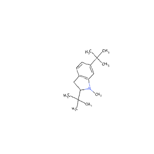 CN1c2cc(C(C)(C)C)ccc2CC1C(C)(C)C